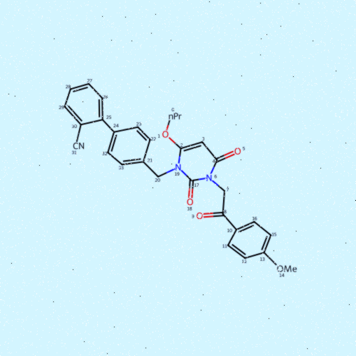 CCCOc1cc(=O)n(CC(=O)c2ccc(OC)cc2)c(=O)n1Cc1ccc(-c2ccccc2C#N)cc1